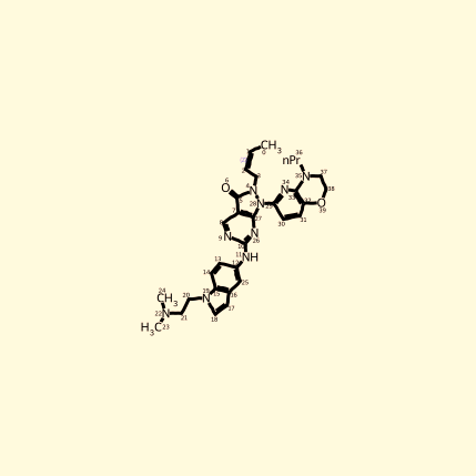 C/C=C\Cn1c(=O)c2cnc(Nc3ccc4c(ccn4CCN(C)C)c3)nc2n1-c1ccc2c(n1)N(CCC)CCO2